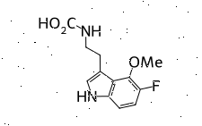 COc1c(F)ccc2[nH]cc(CCNC(=O)O)c12